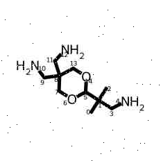 CC(C)(CN)C1OCC(CN)(CN)CO1